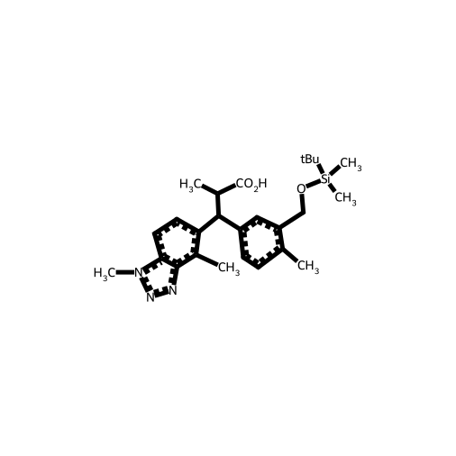 Cc1ccc(C(c2ccc3c(nnn3C)c2C)C(C)C(=O)O)cc1CO[Si](C)(C)C(C)(C)C